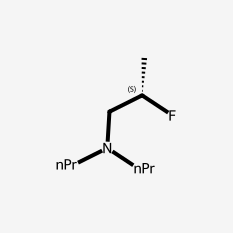 CCCN(CCC)C[C@H](C)F